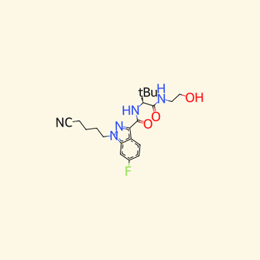 CC(C)(C)[C@H](NC(=O)c1nn(CCCCC#N)c2cc(F)ccc12)C(=O)NCCO